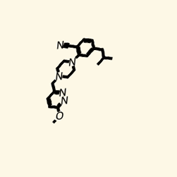 COc1ccc(CN2CCN(c3cc(CC(C)C)ccc3C#N)CC2)nn1